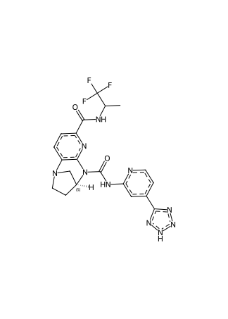 CC(NC(=O)c1ccc2c(n1)N(C(=O)Nc1cc(-c3nn[nH]n3)ccn1)[C@H]1CCN2C1)C(F)(F)F